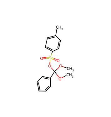 COC(OC)(OS(=O)(=O)c1ccc(C)cc1)c1ccccc1